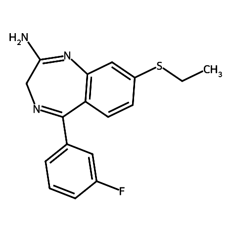 CCSc1ccc2c(c1)N=C(N)CN=C2c1cccc(F)c1